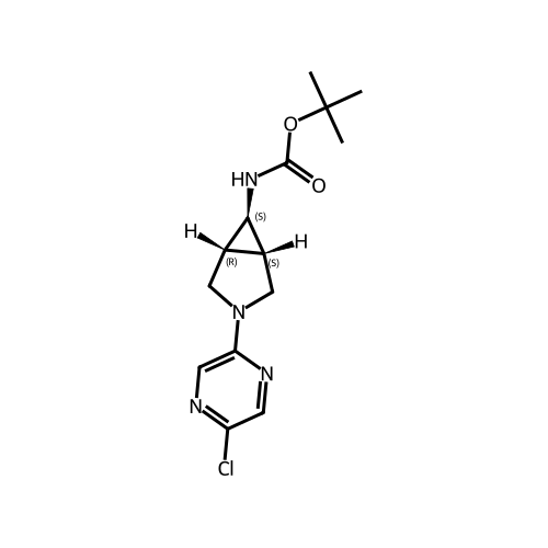 CC(C)(C)OC(=O)N[C@H]1[C@@H]2CN(c3cnc(Cl)cn3)C[C@@H]21